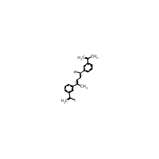 C=C(C)c1cccc(/C(Br)=C/C=C(\C)c2cccc(C(=C)I)c2)c1